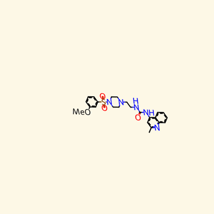 COc1cccc(S(=O)(=O)N2CCN(CCNC(=O)Nc3cc(C)nc4ccccc34)CC2)c1